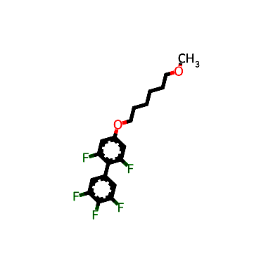 COCCCCCCOc1cc(F)c(-c2cc(F)c(F)c(F)c2)c(F)c1